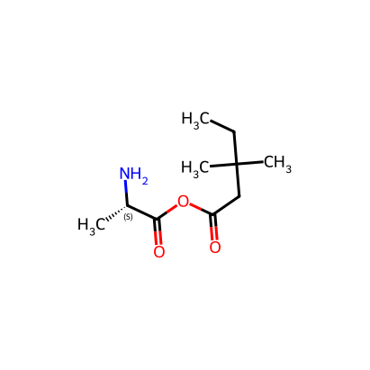 CCC(C)(C)CC(=O)OC(=O)[C@H](C)N